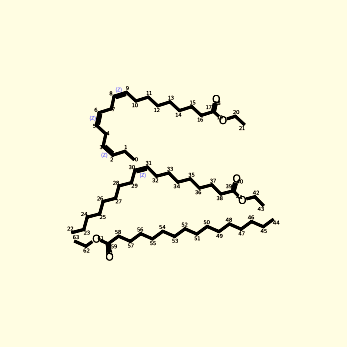 CC/C=C\C/C=C\C/C=C\CCCCCCCC(=O)OCC.CCCCCCCC/C=C\CCCCCCCC(=O)OCC.CCCCCCCCCCCCCCCC(=O)OCC